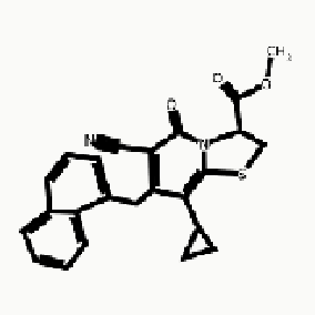 COC(=O)C1CSc2c(C3CC3)c(Cc3cccc4ccccc34)c(C#N)c(=O)n21